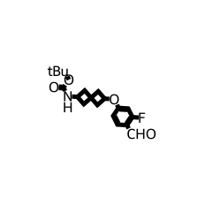 CC(C)(C)OC(=O)NC1CC2(C1)CC(Oc1ccc(C=O)c(F)c1)C2